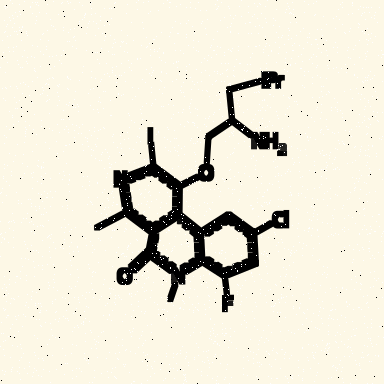 Cc1nc(I)c(OCC(N)CC(C)C)c2c1c(=O)n(C)c1c(F)cc(Cl)cc21